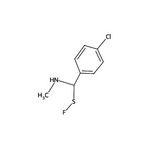 CNC(SF)c1ccc(Cl)cc1